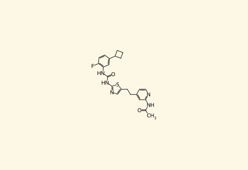 CC(=O)Nc1cc(CCc2cnc(NC(=O)Nc3cc(C4CCC4)ccc3F)s2)ccn1